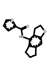 O=C(Nc1c2c(cc3c1CCO3)CCC2)c1ccco1